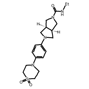 CCNC(=O)N1C[C@@H]2CN(c3ccc(N4CCS(=O)(=O)CC4)cc3)C[C@@H]2C1